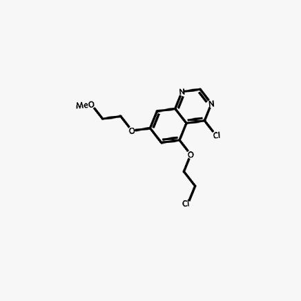 COCCOc1cc(OCCCl)c2c(Cl)ncnc2c1